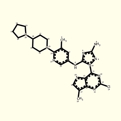 Cc1cc(Nc2nc(N)nn2-c2nc(Cl)nc3c(C)csc23)cnc1N1CCC(N2CCCC2)CC1